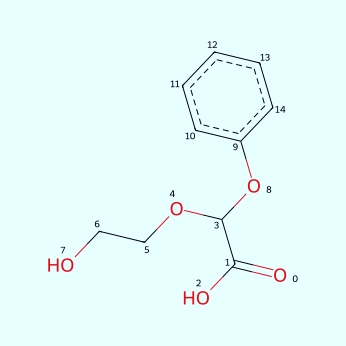 O=C(O)C(OCCO)Oc1ccccc1